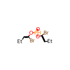 CC/C=C(\Br)O[PH](=O)O/C(Br)=C/CC